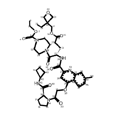 CCOC(=O)N1CCN(C(=O)[C@H](CCC(=O)OCC2(CC)COC2)NC(=O)c2cc(OCC(=O)N3CCC[C@H]3C(=O)NC3CCC3)c3ccc(C)cc3n2)CC1